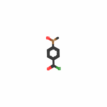 C[S+]([O-])c1ccc(C(=O)Cl)cc1